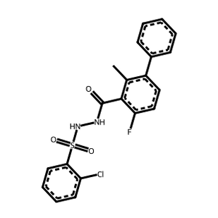 Cc1c(-c2ccccc2)ccc(F)c1C(=O)NNS(=O)(=O)c1ccccc1Cl